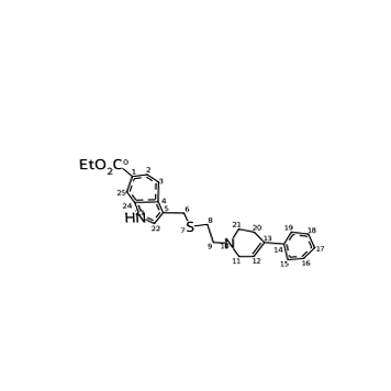 CCOC(=O)c1ccc2c(CSCCN3CC=C(c4ccccc4)CC3)c[nH]c2c1